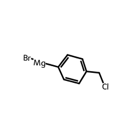 ClCc1cc[c]([Mg][Br])cc1